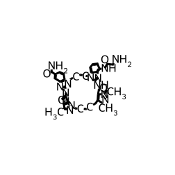 CCn1nc(C)c2c1C(=O)Nc1nc3c(NC(=O)CN)cccc3n1CCCCn1c(nc3cc(C(N)=O)ccc31)NC(=O)c1cc(C)nn1CCCCC2